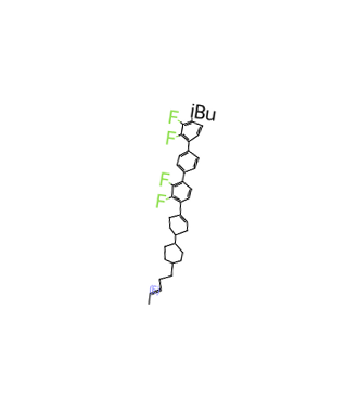 C/C=C/CCC1CCC(C2CC=C(c3ccc(-c4ccc(-c5ccc(C(C)CC)c(F)c5F)cc4)c(F)c3F)CC2)CC1